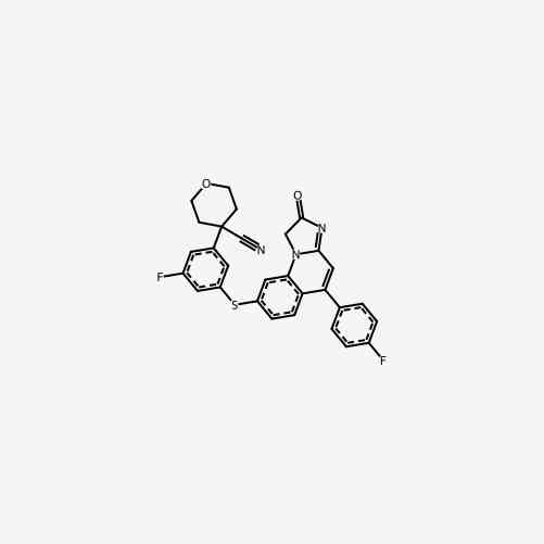 N#CC1(c2cc(F)cc(Sc3ccc4c(c3)N3CC(=O)N=C3C=C4c3ccc(F)cc3)c2)CCOCC1